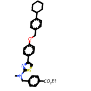 CCOC(=O)c1ccc(CN(C)c2nc(-c3ccc(OCc4ccc(C5CCCCC5)cc4)cc3)cs2)cc1